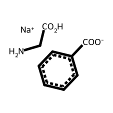 NCC(=O)O.O=C([O-])c1ccccc1.[Na+]